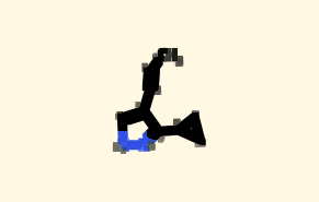 CC#CC1=C[N]N=C1C1CC1